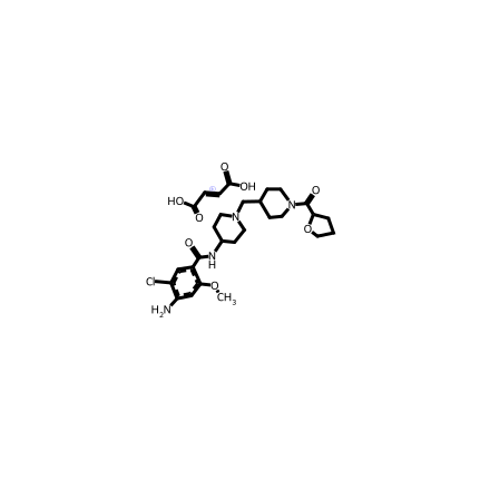 COc1cc(N)c(Cl)cc1C(=O)NC1CCN(CC2CCN(C(=O)C3CCCO3)CC2)CC1.O=C(O)/C=C/C(=O)O